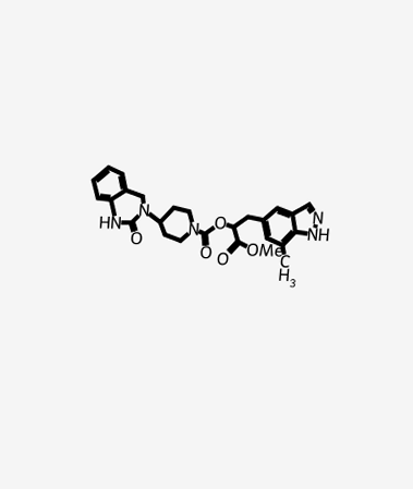 COC(=O)C(Cc1cc(C)c2[nH]ncc2c1)OC(=O)N1CCC(N2Cc3ccccc3NC2=O)CC1